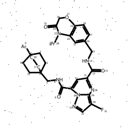 CC(=O)C12CCC(CNC(=O)c3cc(C(=O)NCc4ccc5c(c4)N(C(C)C)C(=O)CO5)nc4c(F)cnn34)(CC1)CC2